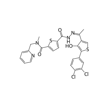 CC(=NNC(=O)c1ccc(C(=O)N(C)Cc2ccccn2)s1)c1csc(-c2ccc(Cl)c(Cl)c2)c1O